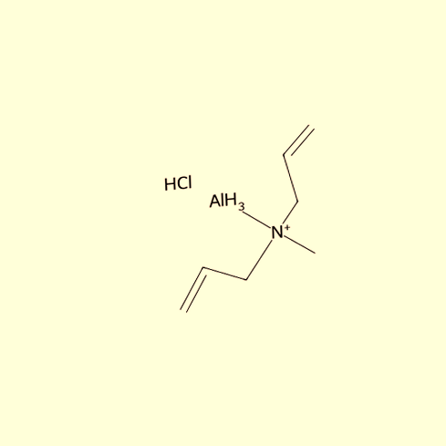 C=CC[N+](C)(C)CC=C.Cl.[AlH3]